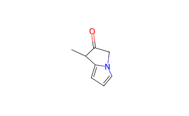 CC1C(=O)Cn2cccc21